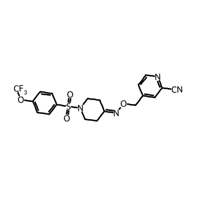 N#Cc1cc(CON=C2CCN(S(=O)(=O)c3ccc(OC(F)(F)F)cc3)CC2)ccn1